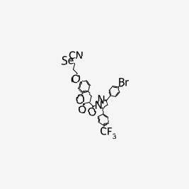 N#C[Se]CCCOc1ccc2c(c1)OC(=O)C(C(=O)N1N=C(c3ccc(Br)cc3)CC1c1ccc(C(F)(F)F)cc1)C2